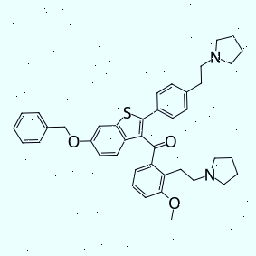 COc1cccc(C(=O)c2c(-c3ccc(CCN4CCCC4)cc3)sc3cc(OCc4ccccc4)ccc23)c1CCN1CCCC1